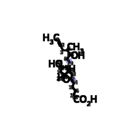 CC#CCC(C)[C@H](O)/C=C/[C@@H]1[C@H]2C/C(=C/CCCC(=O)O)O[C@H]2C[C@H]1O